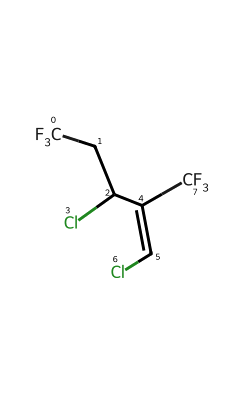 FC(F)(F)CC(Cl)/C(=C\Cl)C(F)(F)F